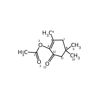 CC(=O)OC1=C(C)CC(C)(C)CC1=O